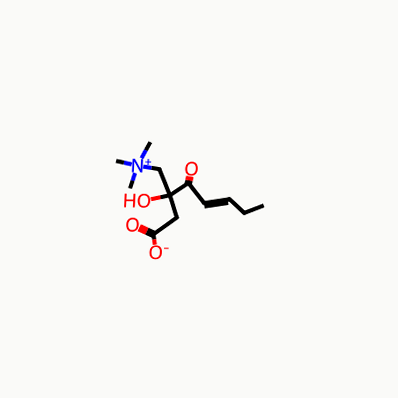 CCC=CC(=O)C(O)(CC(=O)[O-])C[N+](C)(C)C